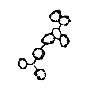 c1ccc(N(c2ccccc2)c2ccc(-c3ccc4c(c3)-c3ccccc3C(c3cccc5ccccc35)C4)cc2)cc1